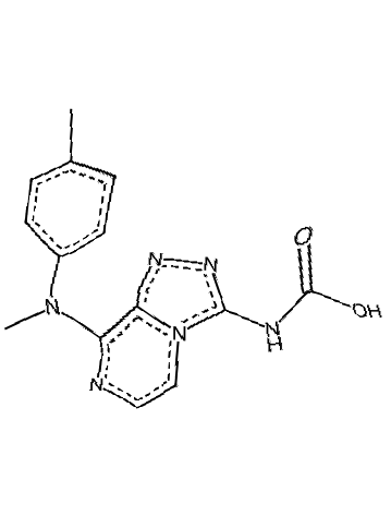 Cc1ccc(N(C)c2nccn3c(NC(=O)O)nnc23)cc1